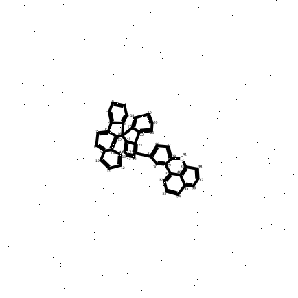 c1ccc2c(c1)-c1ccc3ccccc3c1C21c2ccccc2-c2c(-c3ccc4c(c3)-c3cccc5cccc(c35)S4)cccc21